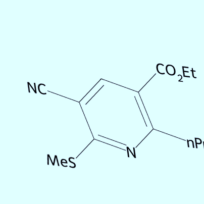 CCCc1nc(SC)c(C#N)cc1C(=O)OCC